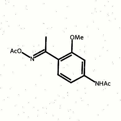 COc1cc(NC(C)=O)ccc1/C(C)=N/OC(C)=O